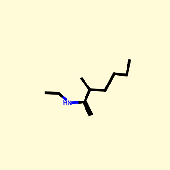 C=C(NCC)C(C)CCCC